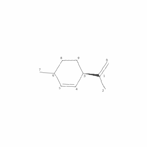 C=C(C)[C@H]1C=CC(C)CC1